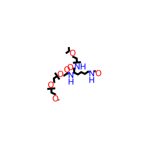 COCCC(C)(C)OCCC(C)(C)OCC(=O)NC(CCCCNC=O)C(=O)NC(C)(C)CCOC(C)C